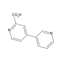 O=C(O)c1cc(-c2cccnc2)ccn1